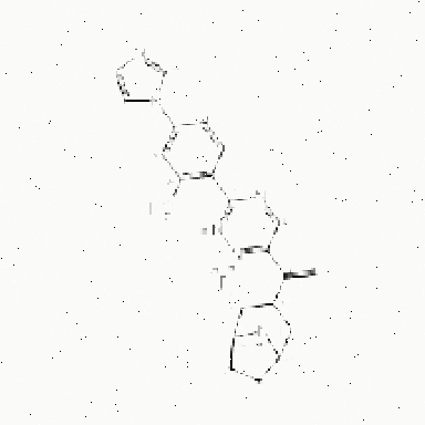 C=C(c1cnc(-c2ccc(-n3ccnc3)cc2O)nn1)C1CC2CCC(N2)[C@@H]1F